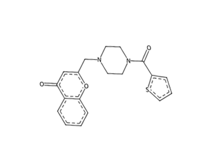 O=C(c1cccs1)N1CCN(Cc2cc(=O)c3ccccc3o2)CC1